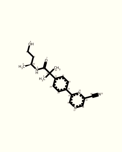 C[C@@H](CCO)NC(=O)C(C)(C)c1ccc(-c2cncc(C#N)n2)cc1